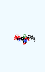 CC(C)(C)OC(=O)N1CCOC[C@H]1c1cc(Cl)cc(-c2ncc(C(=O)O)o2)c1